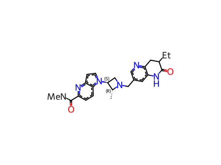 CCC1Cc2ncc(CN3C[C@H](n4ccc5nc(C(=O)NC)ccc54)[C@H]3C)cc2NC1=O